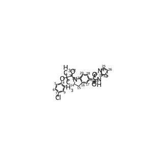 CC(C)(Oc1ccc(Cl)cc1)C(=O)N1CCc2cc(S(=O)(=O)Nc3nccs3)ccc21